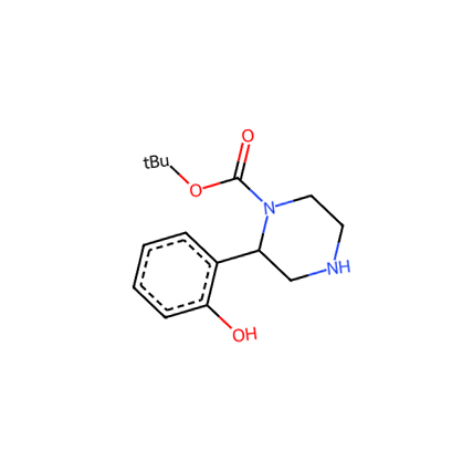 CC(C)(C)OC(=O)N1CCNCC1c1ccccc1O